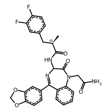 C[C@H](Cc1ccc(F)c(F)c1)C(=O)NC1N=C(c2ccc3c(c2)OCO3)c2ccccc2N(CC(N)=O)C1=O